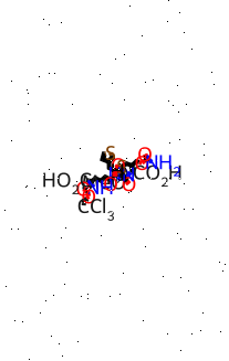 CO[C@@]1(N(C(=O)CCCC(NC(=O)OCC(Cl)(Cl)Cl)C(=O)O)C(=O)Cc2ccsc2)C(=O)N2C(C(=O)O)=C(COC(N)=O)CS[C@H]21